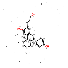 OCCCc1cc2c(cc1O)[C@@H]1CCCC[C@@H]1[C@H](C1C=CC(O)=CC1)C2